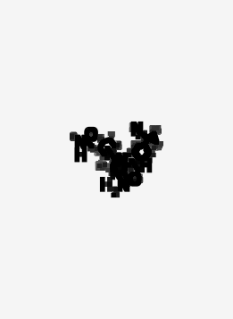 CNC(=O)C[C@@H]1CCCN(c2cnc(C(N)=O)c(Nc3ccc(C4(C#N)CC4)cc3)n2)[C@@H]1C